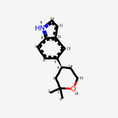 CC1(C)C[C@@H](c2ccc3[nH]ccc3c2)CCO1